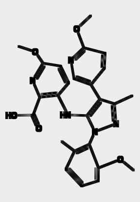 COc1ccc(-c2c(C)nn(-c3c(C)cccc3OC)c2Nc2ccc(OC)nc2C(=O)O)cn1